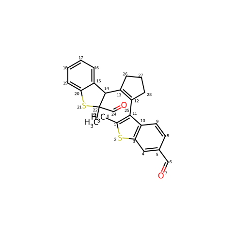 Cc1sc2cc(C=O)ccc2c1C1=C(C2c3ccccc3SC2(C)C=O)CCC1